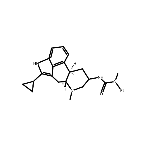 CCN(C)C(=O)NC1C[C@@H]2c3cccc4[nH]c(C5CC5)c(c34)C[C@H]2N(C)C1